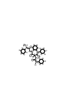 CC(C)N(C(=O)CN1C(=O)C(C)(CC(=O)N(C)c2ccccc2)C(=O)N(c2ccccc2)c2ccccc21)c1ccccc1